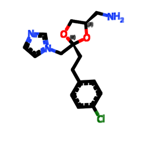 NC[C@@H]1CO[C@@](CCc2ccc(Cl)cc2)(Cn2ccnc2)O1